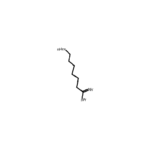 CCCCCCCCCCCCC(=N)CCC